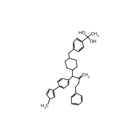 C=C(CCc1ccccc1)C(c1ccc(C2=CC(C)C=C2)cc1)C1CCC(Cc2ccc(C(C)(O)O)cc2)CC1